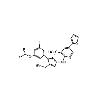 CC(C)Cc1cc(Nc2ncc(-c3cccs3)cc2C(=O)O)nn1-c1cc(F)cc(OC(F)F)c1